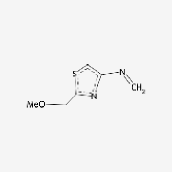 C=Nc1csc(COC)n1